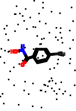 CC(C)(C)c1ccc(C(=O)NO)cc1